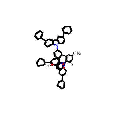 N#Cc1ccc(-n2c3ccc(-c4ccccc4)cc3c3cc(-c4ccccc4)ccc32)c(-c2cc(-n3c4ccc(-c5ccccc5)cc4c4cc(-c5ccccc5)ccc43)ccc2-c2c(C(F)(F)F)cccc2C(F)(F)F)c1